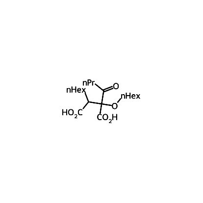 CCCCCCOC(C(=O)O)(C(=O)CCC)C(CCCCCC)C(=O)O